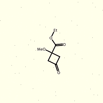 CCOC(=O)C1(OC)CC(=O)C1